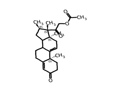 CC(=O)OCC(=O)[C@@]1(C)[C@H](C)CC2C3CCC4=CC(=O)CC[C@]4(C)C3=CC[C@@]21C